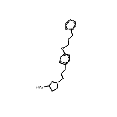 O=C(O)C1CCN(CCCc2ccc(OCCCc3ccccc3)cc2)C1